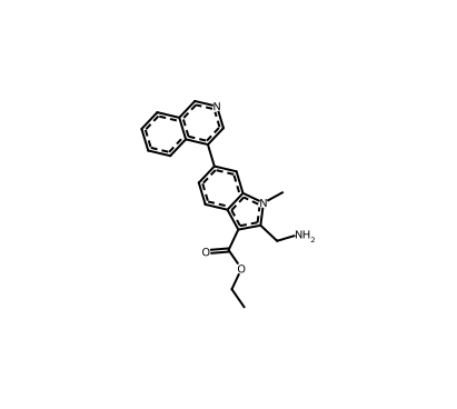 CCOC(=O)c1c(CN)n(C)c2cc(-c3cncc4ccccc34)ccc12